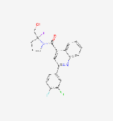 O=C(c1cc(-c2ccc(F)c(Cl)c2)nc2ccccc12)N1CCCC1(I)CO